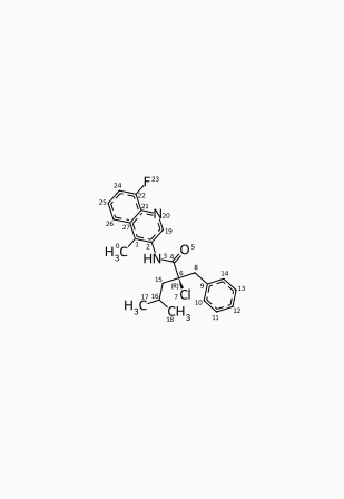 Cc1c(NC(=O)[C@](Cl)(Cc2ccccc2)CC(C)C)cnc2c(F)cccc12